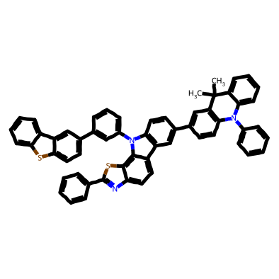 CC1(C)c2ccccc2N(c2ccccc2)c2ccc(-c3ccc4c(c3)c3ccc5nc(-c6ccccc6)sc5c3n4-c3cccc(-c4ccc5sc6ccccc6c5c4)c3)cc21